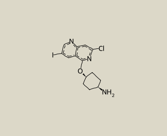 N[C@H]1CC[C@@H](Oc2nc(Cl)cc3ncc(I)cc23)CC1